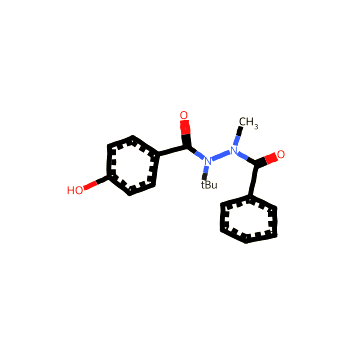 CN(C(=O)c1ccccc1)N(C(=O)c1ccc(O)cc1)C(C)(C)C